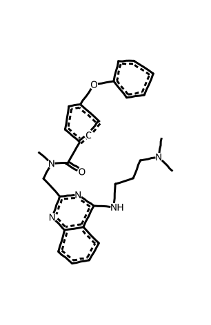 CN(C)CCCNc1nc(CN(C)C(=O)c2ccc(Oc3ccccc3)cc2)nc2ccccc12